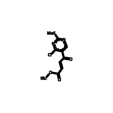 CSc1ncc(C(=O)C=CC(=O)OC(C)(C)C)c(Cl)n1